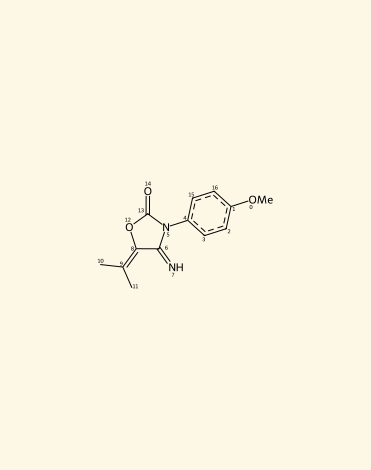 COc1ccc(N2C(=N)C(=C(C)C)OC2=O)cc1